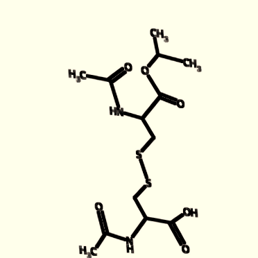 CC(=O)NC(CSSCC(NC(C)=O)C(=O)OC(C)C)C(=O)O